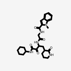 Cn1c(C(=O)NCC(=O)NC(CC2CCCNC2=O)C(=O)C(=O)NC2CCCCC2)cc2ccccc21